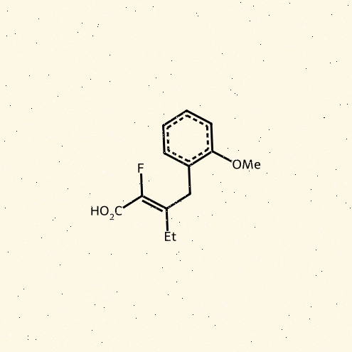 CCC(Cc1ccccc1OC)=C(F)C(=O)O